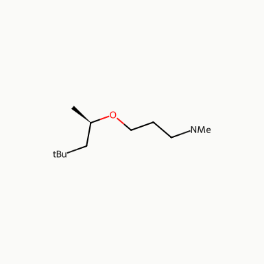 CNCCCO[C@H](C)CC(C)(C)C